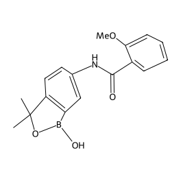 COc1ccccc1C(=O)Nc1ccc2c(c1)B(O)OC2(C)C